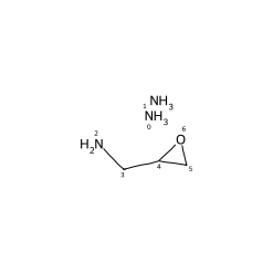 N.N.NCC1CO1